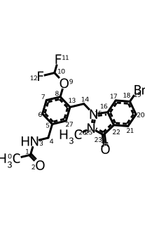 CC(=O)NCc1ccc(OC(F)F)c(Cn2c3cc(Br)ccc3c(=O)n2C)c1